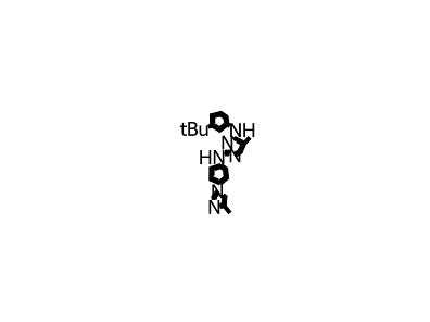 Cc1cn(-c2ccc(Nc3ncc(C)c(Nc4cccc(C(C)(C)C)c4)n3)cc2)cn1